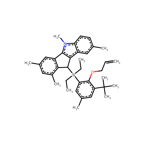 C=CCOc1c(C(C)(C)C)cc(C)cc1[Si](CC)(CC)C1c2c(C)cc(C)cc2-c2c1c1cc(C)ccc1n2C